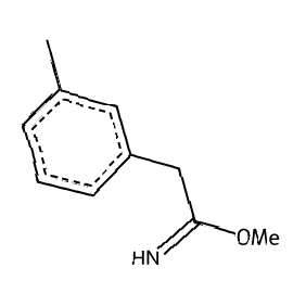 COC(=N)Cc1cccc(C)c1